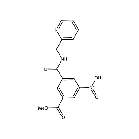 COC(=O)c1cc(C(=O)NCc2ccccn2)cc([N+](=O)O)c1